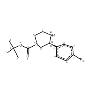 CC(C)(C)OC(=O)N1CCN[C@@H](c2ccc(F)cc2)C1